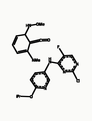 CC(C)Oc1ccc(Nc2nc(Cl)ncc2F)cn1.CNC1=CC=CC(NOC)C1=C=O